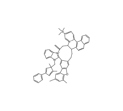 C=C1CC2C(CCc3cc4oc5c(C)cc(C)cc5c4cc3-c3n(CC4(C)C=C(c5ccccc5)C=C4C)c4ccccc4[n+]31)c1ccc3ccccc3c1-c1ccc([Si](C)(C)C)c[n+]12